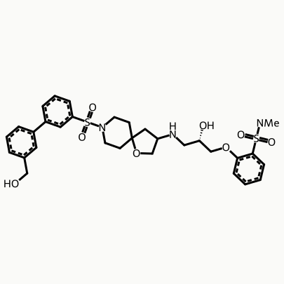 CNS(=O)(=O)c1ccccc1OC[C@@H](O)CNC1COC2(CCN(S(=O)(=O)c3cccc(-c4cccc(CO)c4)c3)CC2)C1